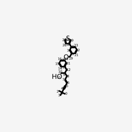 CC(C)(C)C#C/C=C/CC(CO)Cc1cccc(OCc2cccc(-c3ccsc3)c2)c1